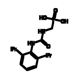 CC(C)c1cccc(C(C)C)c1NC(=O)NCP(=O)(O)O